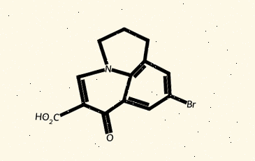 O=C(O)c1cn2c3c(cc(Br)cc3c1=O)CCC2